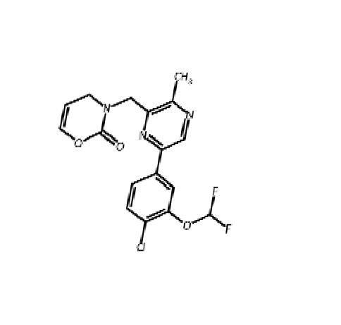 Cc1ncc(-c2ccc(Cl)c(OC(F)F)c2)nc1CN1CC=COC1=O